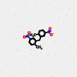 Cc1ccc([N+](=O)[O-])cc1Cc1cc([N+](=O)[O-])ccc1C